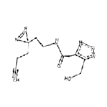 C#CCCC1(CCNC(=O)c2nonc2CO)N=N1